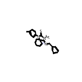 CC(=O)N1C(=S)N(c2ccc(C)cc2)C2(CCCCC2)/C1=N/Cc1ccccc1